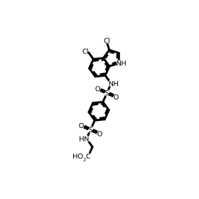 O=C(O)CNS(=O)(=O)c1ccc(S(=O)(=O)Nc2ccc(Cl)c3c(Cl)c[nH]c23)cc1